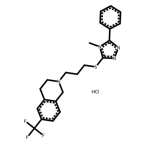 Cl.Cn1c(SCCCN2CCc3cc(C(F)(F)F)ccc3C2)nnc1-c1ccccc1